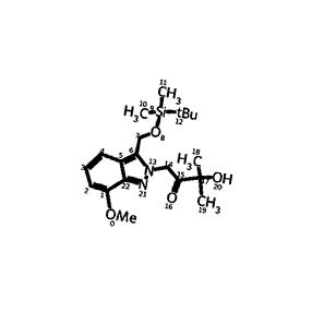 COc1cccc2c(CO[Si](C)(C)C(C)(C)C)n(CC(=O)C(C)(C)O)nc12